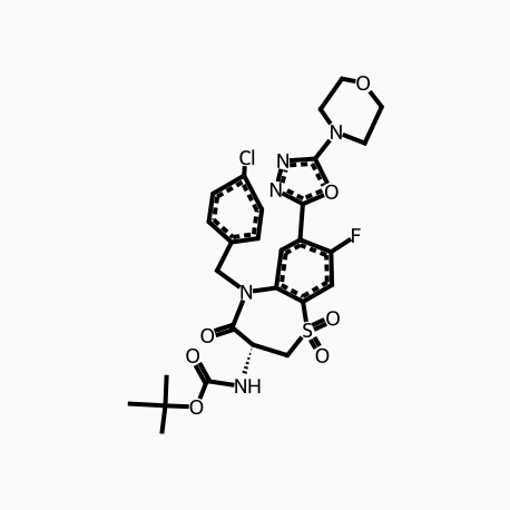 CC(C)(C)OC(=O)N[C@H]1CS(=O)(=O)c2cc(F)c(-c3nnc(N4CCOCC4)o3)cc2N(Cc2ccc(Cl)cc2)C1=O